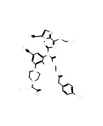 CCNc1nc(N(C(=O)OCOC(=O)Cc2ccc(O)cc2)c2cc(C#N)cc(N3CCN([C@@H](C)C(N)=O)CC3)c2Cl)nn2c(C#N)cnc12